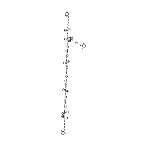 CC1=C(CCCCCCCCC(=O)NCCCC[C@H](NC(=O)CCCCCCCCC2=C(C)CCCC2(C)C)C(=O)NCCCOCCOCCOCCCNC(=O)CCOCCOCCOCCOCCOCCC(=O)NCCCOCCOCCOCCCNC(=O)CNC(=O)CCCCCCCCC2=C(C)CCCC2(C)C)C(C)(C)CCC1